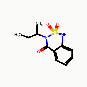 CCC(C)N1C(=O)c2ccccc2NS1(=O)=O